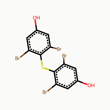 Oc1cc(Br)c(Sc2c(Br)cc(O)cc2Br)c(Br)c1